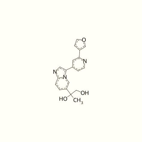 CC(O)(CO)c1ccc2ncc(-c3ccnc(-c4ccoc4)c3)n2c1